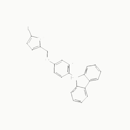 Ic1ccc(COc2ccc([SH]3c4ccccc4-c4ccccc43)cc2)s1